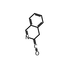 O=C=C1Cc2ccccc2C=N1